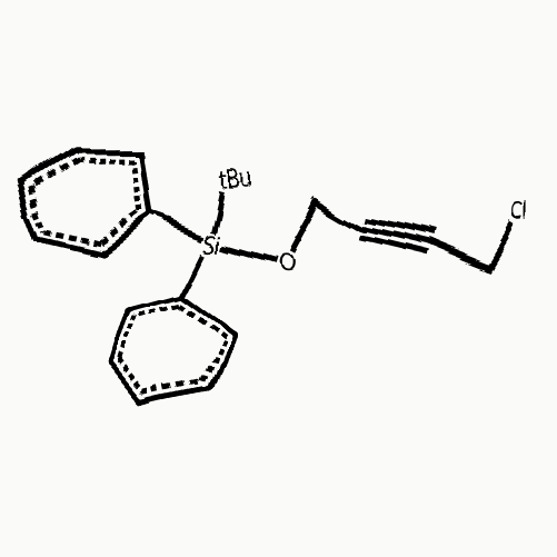 CC(C)(C)[Si](OCC#CCCl)(c1ccccc1)c1ccccc1